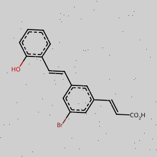 O=C(O)/C=C/c1cc(Br)cc(/C=C/c2ccccc2O)c1